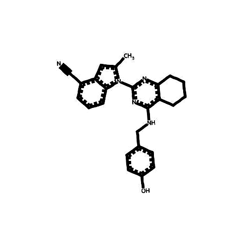 Cc1cc2c(C#N)cccc2n1-c1nc2c(c(NCc3ccc(O)cc3)n1)CCCC2